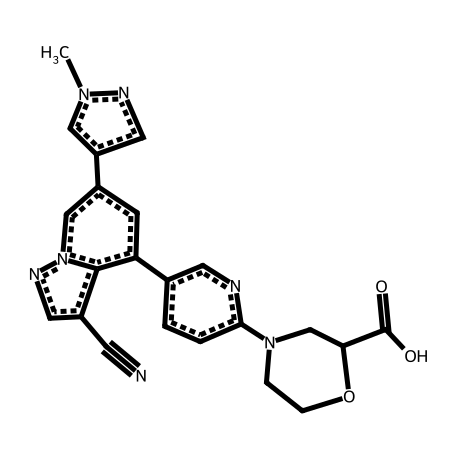 Cn1cc(-c2cc(-c3ccc(N4CCOC(C(=O)O)C4)nc3)c3c(C#N)cnn3c2)cn1